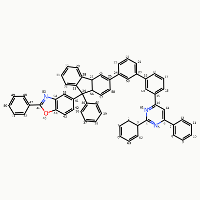 C1=CCC(c2nc(-c3ccccc3)cc(-c3cccc(-c4cccc(C5=CC6c7ccccc7C(c7ccccc7)(c7ccc8oc(-c9ccccc9)nc8c7)C6C=C5)c4)c3)n2)C=C1